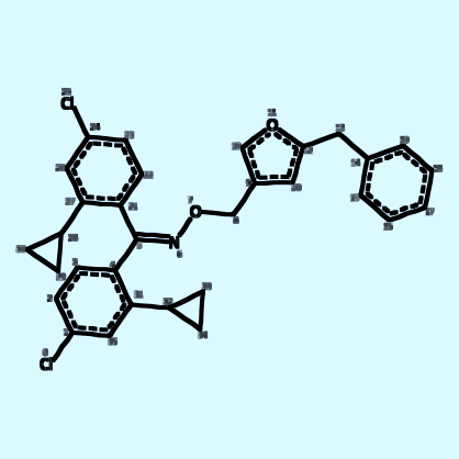 Clc1ccc(C(=NOCc2coc(Cc3ccccc3)c2)c2ccc(Cl)cc2C2CC2)c(C2CC2)c1